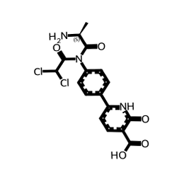 C[C@H](N)C(=O)N(C(=O)C(Cl)Cl)c1ccc(-c2ccc(C(=O)O)c(=O)[nH]2)cc1